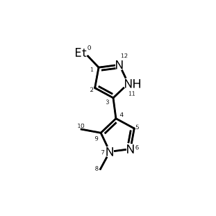 CCc1cc(-c2cnn(C)c2C)[nH]n1